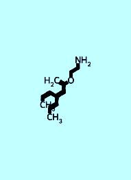 C=C(/C=C(\C=C/C)/C=C/C)OCCN